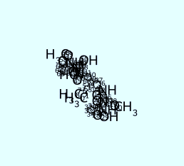 CCCCC1(CCCC)c2cc(NC(=O)[C@@H]3C[C@H](COC)CN3C(=O)[C@H](NC(=O)O)c3ccccc3)ccc2-c2ccc(N(C(=O)O)[C@H]3C[C@@H](O)CN3C(=O)C(NC(=O)OC)c3ccccc3)cc21